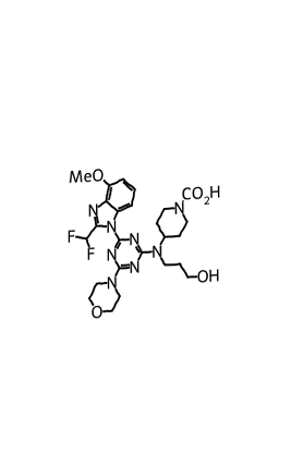 COc1cccc2c1nc(C(F)F)n2-c1nc(N2CCOCC2)nc(N(CCCO)C2CCN(C(=O)O)CC2)n1